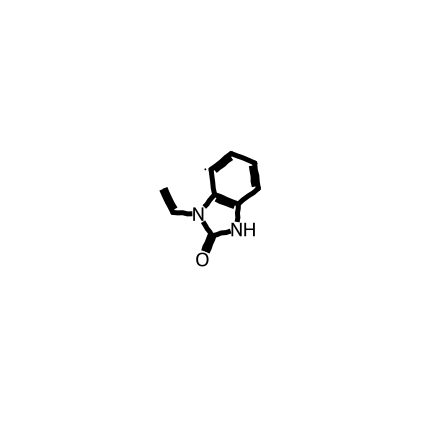 C=Cn1c(=O)[nH]c2ccc[c]c21